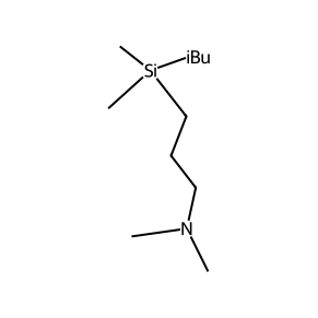 CCC(C)[Si](C)(C)CCCN(C)C